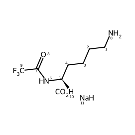 NCCCC[C@H](NC(=O)C(F)(F)F)C(=O)O.[NaH]